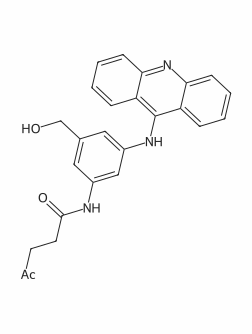 CC(=O)CCC(=O)Nc1cc(CO)cc(Nc2c3ccccc3nc3ccccc23)c1